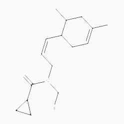 CC1=CCC(/C=C\CN(CC(C)C)C(=O)C2CC2)C(C)C1